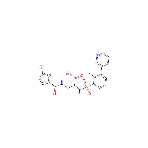 Cc1c(-c2cccnc2)cccc1S(=O)(=O)NC(CNC(=O)c1ccc(Cl)s1)C(=O)O